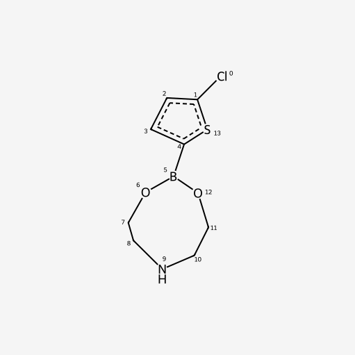 Clc1ccc(B2OCCNCCO2)s1